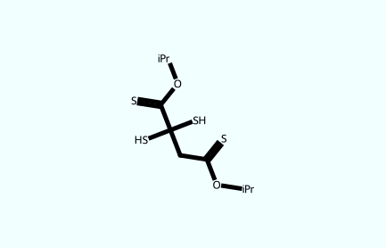 CC(C)OC(=S)CC(S)(S)C(=S)OC(C)C